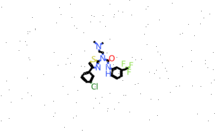 CN(C)CCN(C(=O)Nc1cccc(C(F)(F)F)c1)c1nc(-c2cccc(Cl)c2)cs1